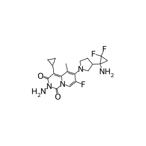 Cc1c(N2CCC(C3(N)CC3(F)F)C2)c(F)cn2c(=O)n(N)c(=O)c(C3CC3)c12